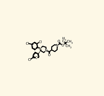 CC(C)(C)OC(=O)N1CCC(C(=O)N2CCN(c3ccc(Cl)cc3Cl)[C@H](c3ccc(Cl)cc3)C2)CC1